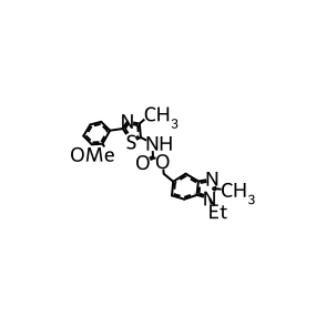 CCn1c(C)nc2cc(COC(=O)Nc3sc(-c4ccccc4OC)nc3C)ccc21